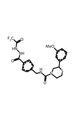 COc1cccc(C2CN(C(=O)NCc3ccc(C(=O)NNC(=O)C(F)(F)F)cc3)CCS2)c1